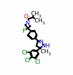 CC(C)C(=O)N1CC(F)(c2ccc(C3=NNC(C)(c4cc(Cl)c(Cl)c(Cl)c4)C3)cc2)C1